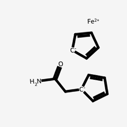 NC(=O)C[c-]1cccc1.[Fe+2].c1cc[cH-]c1